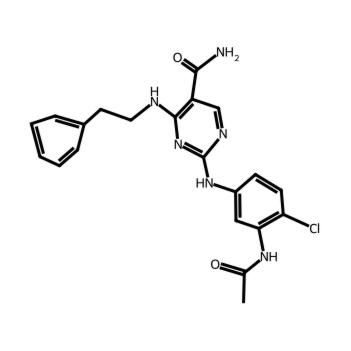 CC(=O)Nc1cc(Nc2ncc(C(N)=O)c(NCCc3ccccc3)n2)ccc1Cl